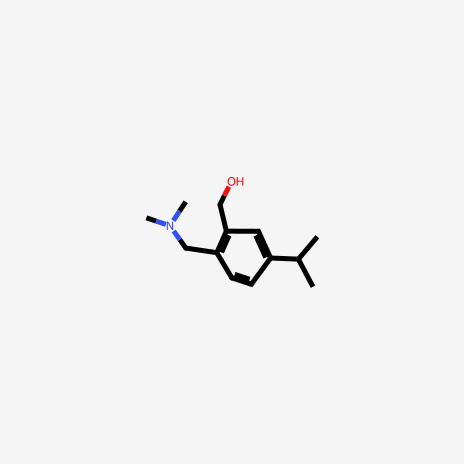 CC(C)c1ccc(CN(C)C)c(CO)c1